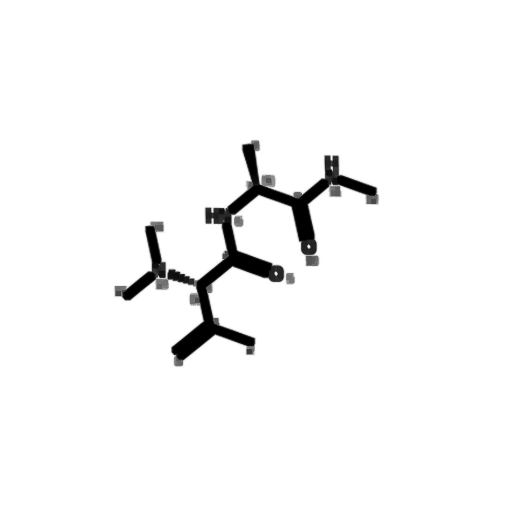 C=C(C)[C@@H](C(=O)N[C@@H](C)C(=O)NC)N(C)C